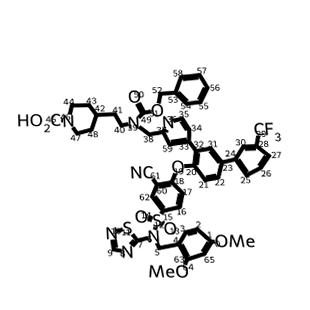 COc1ccc(CN(c2ncns2)S(=O)(=O)c2ccc(Oc3ccc(-c4cccc(C(F)(F)F)c4)cc3-c3ccnc(CN(CCC4CCN(C(=O)O)CC4)C(=O)OCc4ccccc4)c3)c(C#N)c2)c(OC)c1